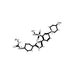 CCNS(=O)(=O)c1cc(N2CCC(O)CC2)ccc1-c1cnc(C2CCC(NC(=O)OC(C)C)CC2)s1